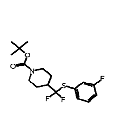 CC(C)(C)OC(=O)N1CCC(C(F)(F)Sc2cccc(F)c2)CC1